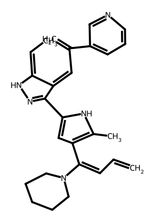 C=C/C=C(\c1cc(-c2n[nH]c(=C/C)/c2=C\C(=C)c2cccnc2)[nH]c1C)N1CCCCC1